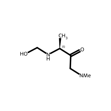 CNCC(=O)[C@H](C)NCO